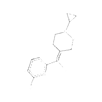 FC(=C1CCN(C2CC2)CC1)c1cccc(Br)n1